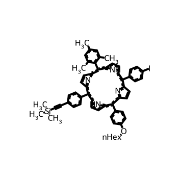 CCCCCCOc1ccc(-c2c3nc(c(-c4ccc(I)cc4)c4ccc([nH]4)c(-c4c(C)cc(C)cc4C)c4nc(c(-c5ccc(C#C[Si](C)(C)C)cc5)c5ccc2[nH]5)C=C4)C=C3)cc1